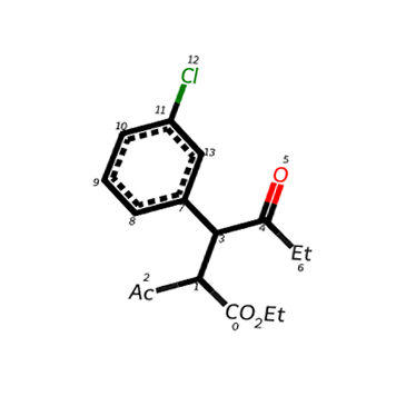 CCOC(=O)C(C(C)=O)C(C(=O)CC)c1cccc(Cl)c1